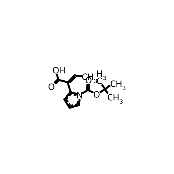 C/C=C(/C(=O)O)c1cccn1C(=O)OC(C)(C)C